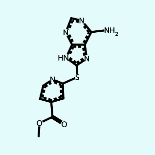 COC(=O)c1ccnc(Sc2nc3c(N)ncnc3[nH]2)c1